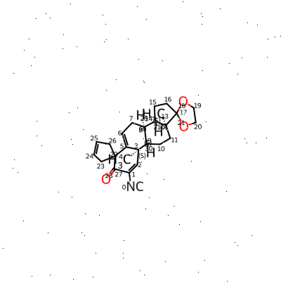 [C-]#[N+]C1=C[C@@]2(C)C(=CC[C@@H]3[C@@H]2CC[C@@]2(C)[C@H]3CCC23OCCO3)C2(CC=CC2)C1=O